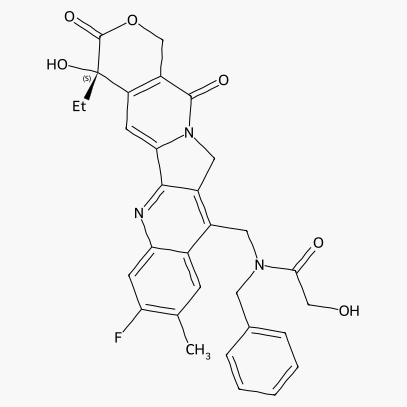 CC[C@@]1(O)C(=O)OCc2c1cc1n(c2=O)Cc2c-1nc1cc(F)c(C)cc1c2CN(Cc1ccccc1)C(=O)CO